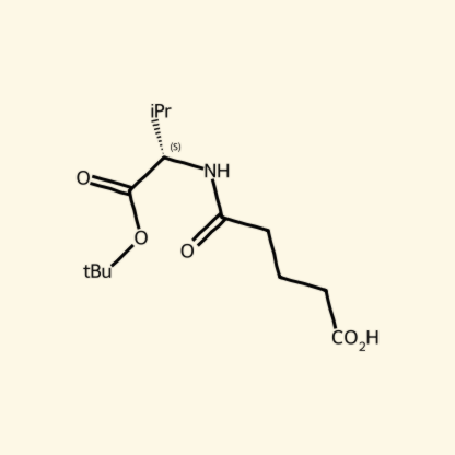 CC(C)[C@H](NC(=O)CCCC(=O)O)C(=O)OC(C)(C)C